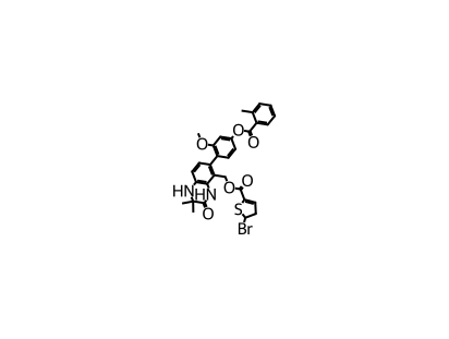 COc1cc(OC(=O)c2ccccc2C)ccc1-c1ccc2c(c1COC(=O)C1=CCC(Br)S1)NC(=O)C(C)(C)N2